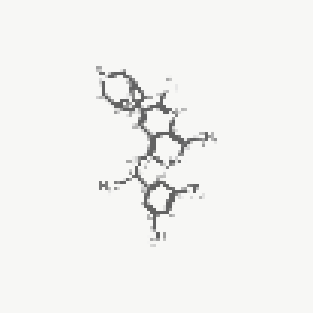 Cc1nnc(N[C@H](C)c2cc(O)cc(C(F)(F)F)c2)c2cc(N3C4CCC3COC4)c(O)nc12